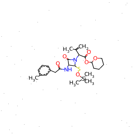 C=C(C)C(C(=O)OC1CCCCO1)N1C(=O)C(NC(=O)Cc2cccc(C)c2)C1SO[Si](C)(C)C